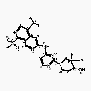 CC(C)c1cnc(S(C)(=O)=O)c2cnc(Nc3ccnc(N4CC[C@@H](O)[C@@](C)(F)C4)n3)cc12